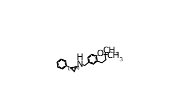 CC1(C)CCc2cc(CN[C@@H]3C[C@H]3c3ccccc3)ccc2O1